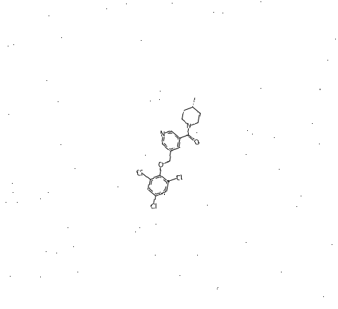 CC1CCN(C(=O)c2cncc(COc3c(Cl)cc(Cl)cc3Cl)c2)CC1